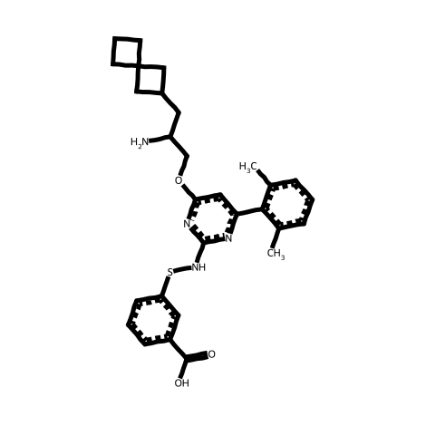 Cc1cccc(C)c1-c1cc(OCC(N)CC2CC3(CCC3)C2)nc(NSc2cccc(C(=O)O)c2)n1